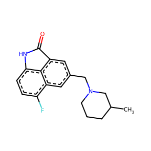 CC1CCCN(Cc2cc3c4c(ccc(F)c4c2)NC3=O)C1